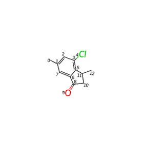 Cc1cc(Cl)c2c(c1)C(=O)CC2C